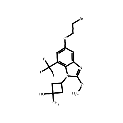 COc1nc2cc(OCCBr)cc(C(F)(F)F)c2n1C1CC(C)(O)C1